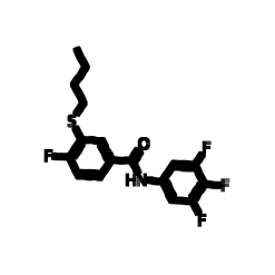 CCCCSc1cc(C(=O)Nc2cc(F)c(F)c(F)c2)ccc1F